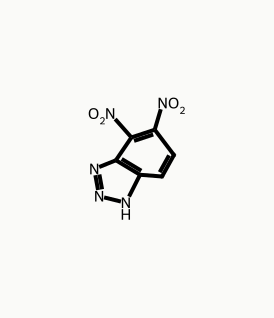 O=[N+]([O-])c1ccc2[nH]nnc2c1[N+](=O)[O-]